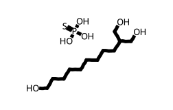 OCCCCCCCCCC(CO)CO.OP(O)(O)=S